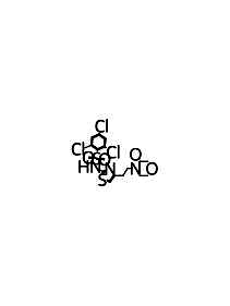 O=C1COCCN1CCc1csc(NS(=O)(=O)c2c(Cl)cc(Cl)cc2Cl)n1